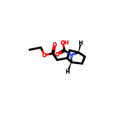 CCOC(=O)CC1C[C@H]2CC[C@@H]1N2C(=O)O